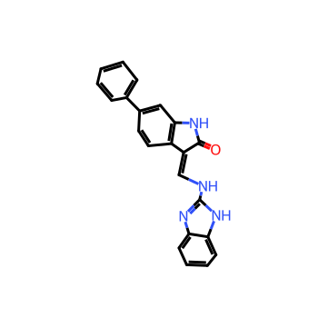 O=C1Nc2cc(-c3ccccc3)ccc2C1=CNc1nc2ccccc2[nH]1